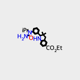 CCOC(=O)c1ccc2c(c1)CC(C)(C)C(c1cccc(N(C(N)=O)C(C)C)c1)N2